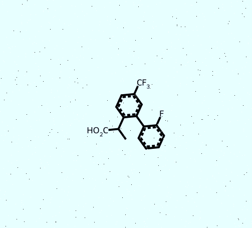 CC(C(=O)O)c1ccc(C(F)(F)F)cc1-c1ccccc1F